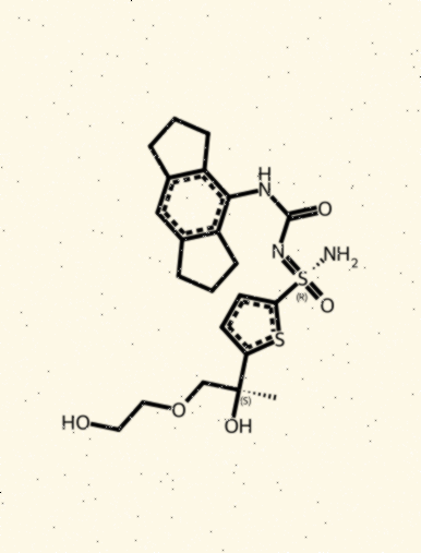 C[C@](O)(COCCO)c1ccc([S@](N)(=O)=NC(=O)Nc2c3c(cc4c2CCC4)CCC3)s1